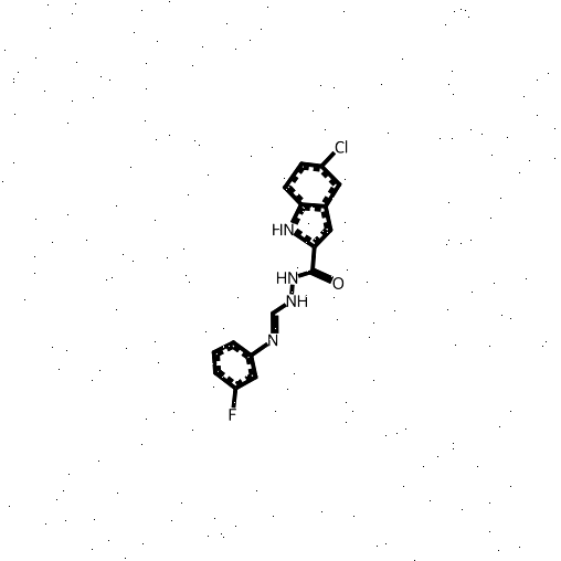 O=C(NNC=Nc1cccc(F)c1)c1cc2cc(Cl)ccc2[nH]1